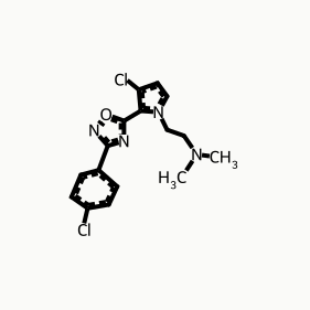 CN(C)CCn1ccc(Cl)c1-c1nc(-c2ccc(Cl)cc2)no1